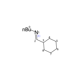 CCCC/N=C/C1CCCCC1